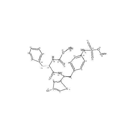 CCc1csc([C@H](Cc2ccc(NS(=O)(=O)OOC)cc2)NC(=O)[C@H](Cc2ccccc2)NC(=O)OC(C)(C)C)n1